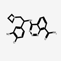 N#Cc1cc(C(CN2CCC2)Nc2nnnc3c(C(N)=O)cccc23)ccc1Cl